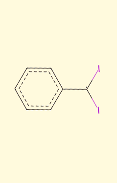 I[C](I)c1ccccc1